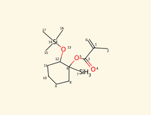 C=C(C)C(=O)OC1([SiH3])CCCCC1O[Si](C)(C)C